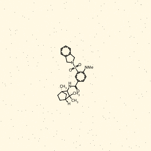 CNc1ccc(C(=O)NC2C(C)(C)[C@@H]3CC[C@]2(C)C3)cc1S(=O)(=O)N1Cc2ccccc2C1